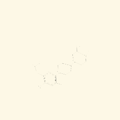 CCc1cc(N)c(OC(F)F)cc1N1CCC(N2CCN(C(=O)O)C(C(C)(C)C)C2)CC1